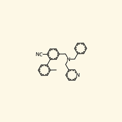 Cc1ccccc1-c1cc(CN(Cc2ccccc2)Cc2cccnc2)ccc1C#N